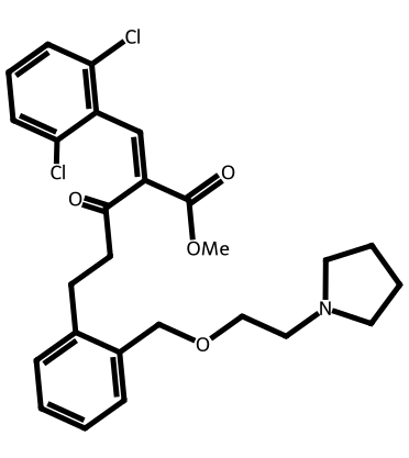 COC(=O)C(=Cc1c(Cl)cccc1Cl)C(=O)CCc1ccccc1COCCN1CCCC1